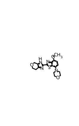 COc1ccc(N2CCOCC2)c2sc(-c3nc4c([nH]3)COCC4)nc12